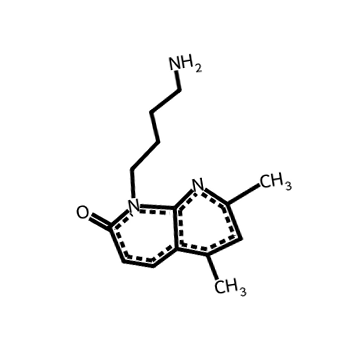 Cc1cc(C)c2ccc(=O)n(CCCCN)c2n1